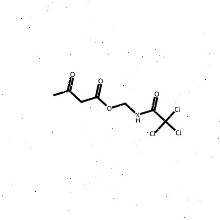 CC(=O)CC(=O)OCNC(=O)C(Cl)(Cl)Cl